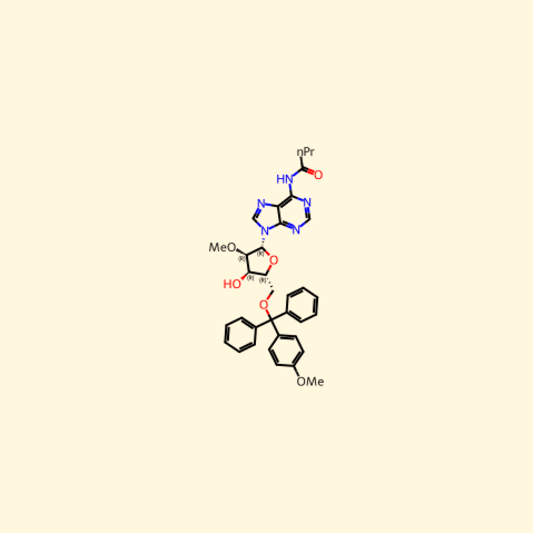 CCCC(=O)Nc1ncnc2c1ncn2[C@@H]1O[C@H](COC(c2ccccc2)(c2ccccc2)c2ccc(OC)cc2)[C@@H](O)[C@H]1OC